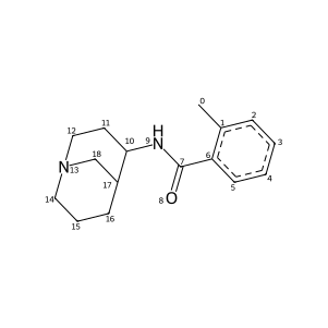 Cc1ccccc1C(=O)NC1CCN2CCCC1C2